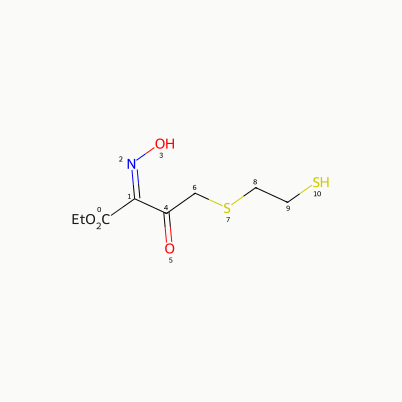 CCOC(=O)C(=NO)C(=O)CSCCS